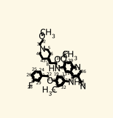 COCCN1CCC(=CC(=O)Nc2cc3c(Nc4ccc(OCc5cccc(F)c5)c(C)c4)c(C#N)cnc3cc2OC)CC1